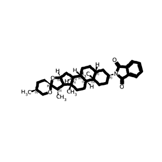 C[C@H]1CC[C@@]2(OC1)O[C@H]1C[C@H]3[C@@H]4CC[C@@H]5C[C@H](N6C(=O)c7ccccc7C6=O)CC[C@]5(C)[C@H]4CC[C@]3(C)C1[C@@H]2C